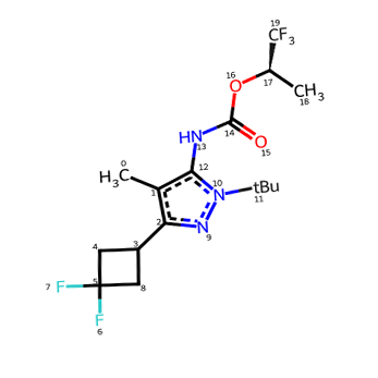 Cc1c(C2CC(F)(F)C2)nn(C(C)(C)C)c1NC(=O)O[C@H](C)C(F)(F)F